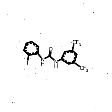 O=C(Nc1cc(C(F)(F)F)cc(C(F)(F)F)c1)Nc1ccccc1I